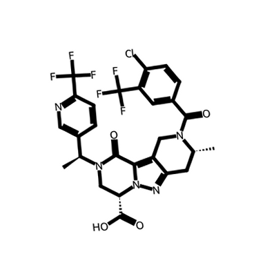 C[C@@H]1Cc2nn3c(c2CN1C(=O)c1ccc(Cl)c(C(F)(F)F)c1)C(=O)N([C@@H](C)c1ccc(C(F)(F)F)nc1)C[C@H]3C(=O)O